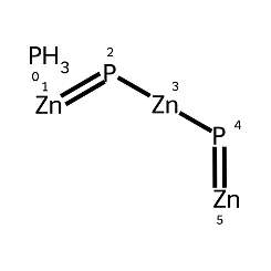 P.[Zn]=[P][Zn][P]=[Zn]